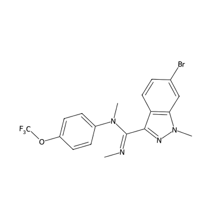 C/N=C(/c1nn(C)c2cc(Br)ccc12)N(C)c1ccc(OC(F)(F)F)cc1